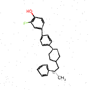 C[C@@H](CC1CCC(c2ccc(-c3ccc(O)c(F)c3)cc2)CC1)c1ccccc1